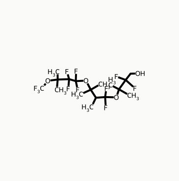 CC(C(C)(C)OC(F)(F)C(F)(F)C(C)(C)OC(F)(F)F)C(F)(F)OC(C)(C)C(F)(F)CO